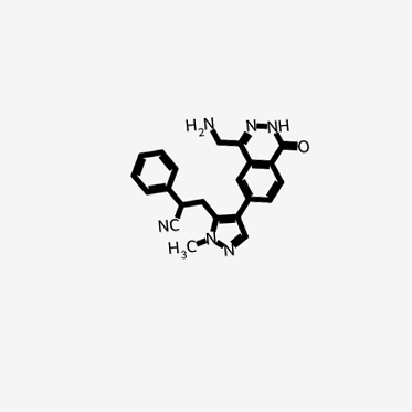 Cn1ncc(-c2ccc3c(=O)[nH]nc(CN)c3c2)c1CC(C#N)c1ccccc1